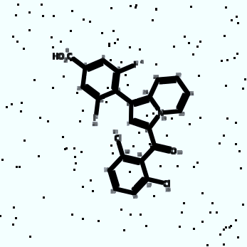 O=C(O)c1cc(F)c(-c2cc(C(=O)c3c(Cl)cccc3Cl)n3ccccc23)c(F)c1